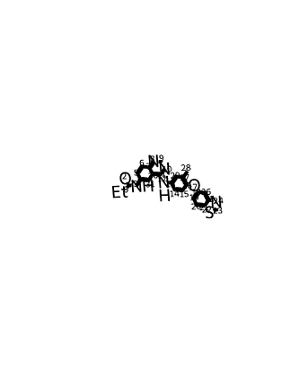 CCC(=O)Nc1ccc2ncnc(Nc3ccc(Oc4ccc5scnc5c4)c(C)c3)c2c1